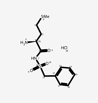 CSCC[C@H](N)C(=O)NS(=O)(=O)Cc1ccccc1.Cl